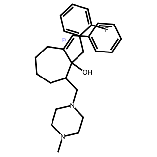 CN1CCN(CC2CCCC/C(=C/c3ccccc3)C2(O)Cc2ccccc2F)CC1